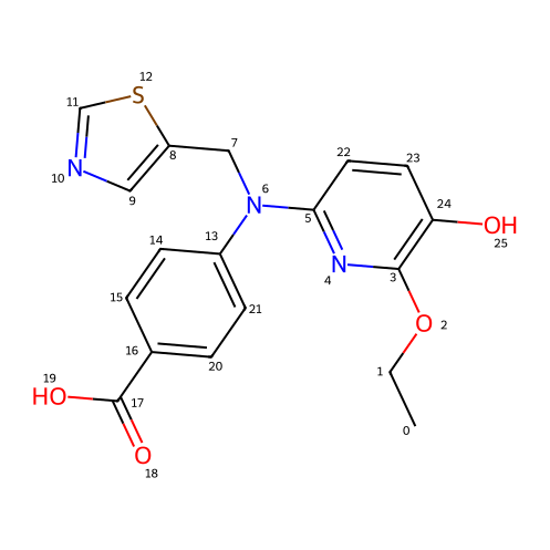 CCOc1nc(N(Cc2cncs2)c2ccc(C(=O)O)cc2)ccc1O